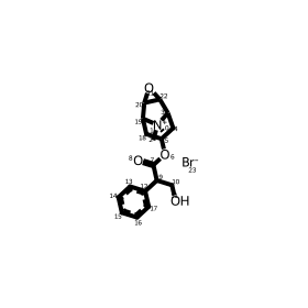 C[N+]1(C)C2CC(OC(=O)C(CO)c3ccccc3)CC1C1OC12.[Br-]